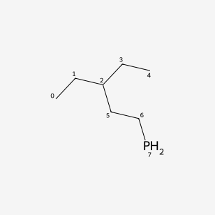 CCC(CC)CCP